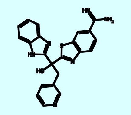 N=C(N)c1ccc2nc(C(O)(Cc3cccnc3)c3nc4ccccc4[nH]3)sc2c1